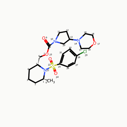 C[C@@H]1CCC[C@H](COC(=O)N2CCC(N3CCOCC3)C2)N1S(=O)(=O)c1ccc(Cl)cc1